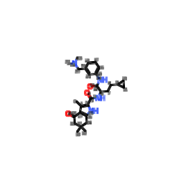 Cc1c(C(=O)NC(CCC2CC2)C(=O)Nc2cccc(CN(C)C)c2)[nH]c2c1C(=O)CC(C)(C)C2